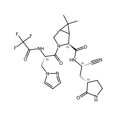 CC1(C)C2CN(C(=O)[C@H](Cn3cccn3)NC(=O)C(F)(F)F)[C@H](C(=O)N[C@H](C#N)C[C@@H]3CCNC3=O)C21